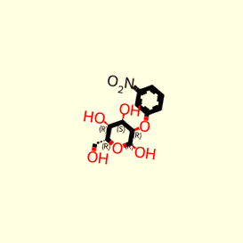 O=[N+]([O-])c1cccc(O[C@@H]2[C@@H](O)[C@@H](O)[C@@H](CO)O[C@H]2O)c1